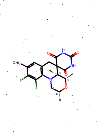 C[C@@H]1CN2c3c(cc(C=O)c(F)c3F)CC3(C(=O)NC(=O)NC3=O)[C@H]2[C@H](C)O1